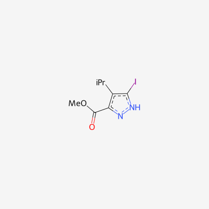 COC(=O)c1n[nH]c(I)c1C(C)C